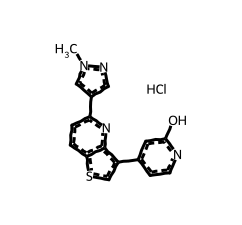 Cl.Cn1cc(-c2ccc3scc(-c4ccnc(O)c4)c3n2)cn1